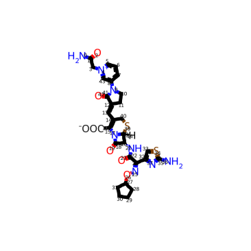 NC(=O)C[n+]1cccc(N2CCC(=CC3=C(C(=O)[O-])N4C(=O)[C@@H](NC(=O)/C(=N\OC5CCCC5)c5csc(N)n5)[C@H]4SC3)C2=O)c1